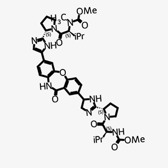 COC(=O)N[C@H](C(=O)N1CCC[C@H]1C1=NCC(c2ccc3c(c2)C(=O)Nc2ccc(-c4cnc([C@@H]5CCCN5C(=O)[C@H](C(C)C)N(C)C(=O)OC)[nH]4)cc2O3)N1)C(C)C